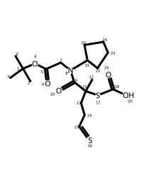 CC(C)(C)OC(=O)CN(C(=O)C(C)(CCC=S)SC(=O)O)C1CCCC1